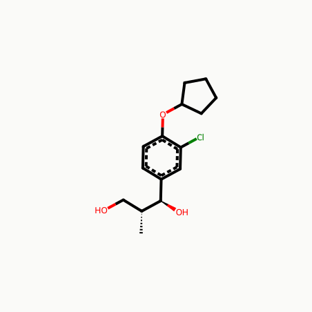 C[C@H](CO)[C@H](O)c1ccc(OC2CCCC2)c(Cl)c1